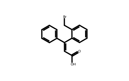 O=C(O)C=C(c1ccccc1)c1ccccc1CBr